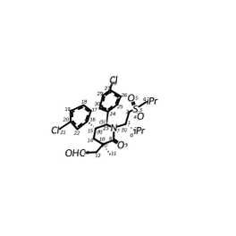 CC(C)[C@@H](CS(=O)(=O)C(C)C)N1C(=O)[C@@](C)(CC=O)C[C@H](c2cccc(Cl)c2)[C@H]1c1ccc(Cl)cc1